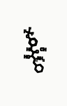 Cl.N[C@H](CC1CCCCC1)C(O)C(=O)Nc1cccc(OC(F)(F)F)c1